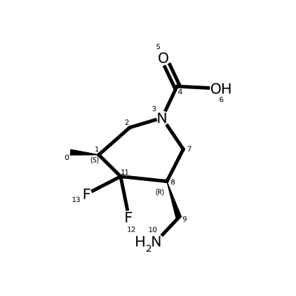 C[C@H]1CN(C(=O)O)C[C@@H](CN)C1(F)F